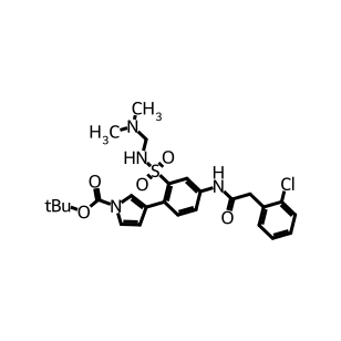 CN(C)CNS(=O)(=O)c1cc(NC(=O)Cc2ccccc2Cl)ccc1-c1ccn(C(=O)OC(C)(C)C)c1